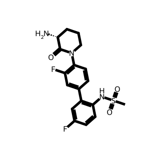 CS(=O)(=O)Nc1ccc(F)cc1-c1ccc(N2CCC[C@@H](N)C2=O)c(F)c1